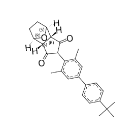 Cc1cc(-c2ccc(C(C)(C)C)cc2)cc(C)c1C1C(=O)[C@@H]2[C@H](C1=O)[C@H]1CC[C@@H]2O1